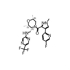 C[C@@H]1CN(C(=O)c2nn(C)cc2-c2ccc(F)cn2)[C@H](CNc2cnc(C(F)(F)F)cn2)[C@H](C)O1